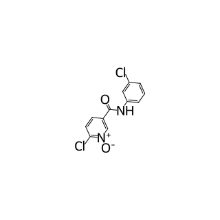 O=C(Nc1cccc(Cl)c1)c1ccc(Cl)[n+]([O-])c1